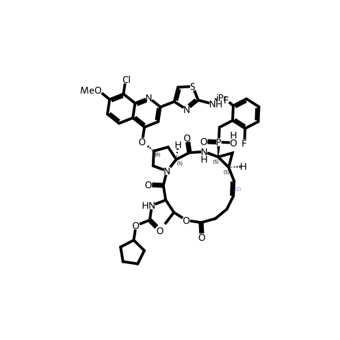 COc1ccc2c(O[C@@H]3C[C@H]4C(=O)N[C@]5(P(=O)(O)Cc6c(F)cccc6F)C[C@H]5/C=C\CCC(=O)OC(C)C(NC(=O)OC5CCCC5)C(=O)N4C3)cc(-c3csc(NC(C)C)n3)nc2c1Cl